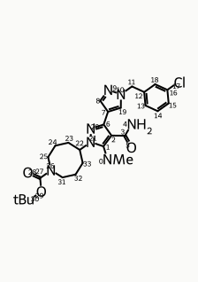 CNc1c(C(N)=O)c(-c2cnn(Cc3cccc(Cl)c3)c2)nn1C1CCCN(C(=O)OC(C)(C)C)CCC1